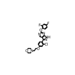 Fc1ccc(Oc2ncc3c(-c4ccc(OCCN5CCOCC5)cc4Cl)n[nH]c3n2)c(F)c1